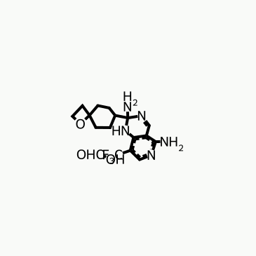 Nc1ncc(C(F)(F)F)c2c1C=NC(N)(C1CCC3(CCO3)CC1)N2.O=CO